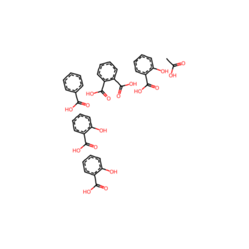 CC(=O)O.O=C(O)c1ccccc1.O=C(O)c1ccccc1C(=O)O.O=C(O)c1ccccc1O.O=C(O)c1ccccc1O.O=C(O)c1ccccc1O